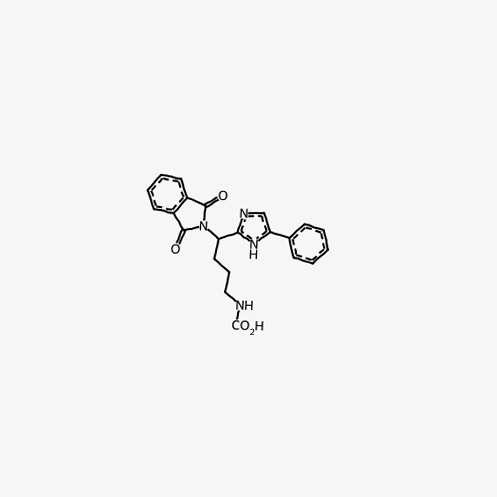 O=C(O)NCCCC(c1ncc(-c2ccccc2)[nH]1)N1C(=O)c2ccccc2C1=O